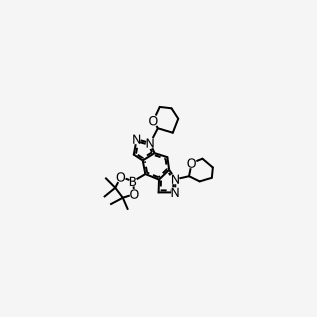 CC1(C)OB(c2c3cnn(C4CCCCO4)c3cc3c2cnn3C2CCCCO2)OC1(C)C